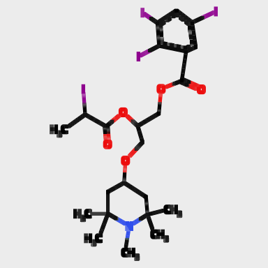 CC(I)C(=O)OC(COC(=O)c1cc(I)cc(I)c1I)COC1CC(C)(C)N(C)C(C)(C)C1